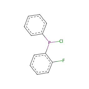 Fc1ccccc1P(Cl)c1ccccc1